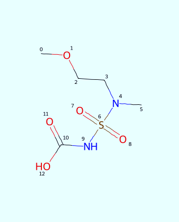 COCCN(C)S(=O)(=O)NC(=O)O